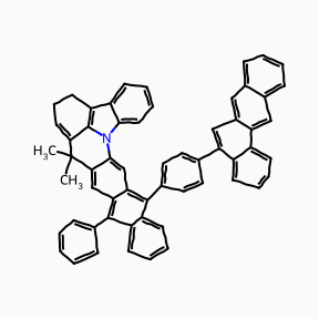 CC1(C)C2=CCCc3c2n(c2ccccc32)-c2cc3c(-c4ccc(-c5cc6cc7ccccc7cc6c6ccccc56)cc4)c4ccccc4c(-c4ccccc4)c3cc21